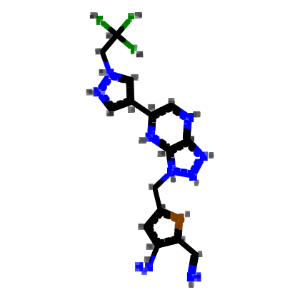 N=Cc1sc(Cn2nnc3ncc(-c4cnn(CC(F)(F)F)c4)nc32)cc1N